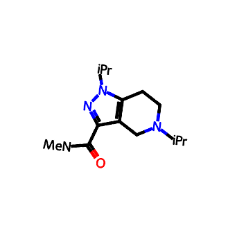 CNC(=O)c1nn(C(C)C)c2c1CN(C(C)C)CC2